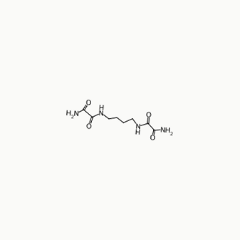 NC(=O)C(=O)NCCCCNC(=O)C(N)=O